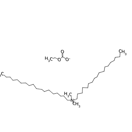 CCCCCCCCCCCCCCCCCC[N+](C)(C)CCCCCCCCCCCCCCCCCC.CCOC(=O)[O-]